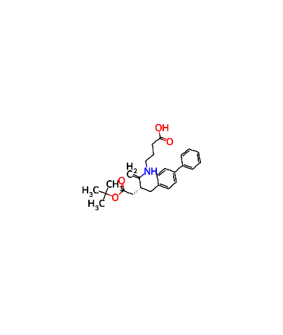 C=C(NCCCC(=O)O)[C@@H](CC(=O)OC(C)(C)C)Cc1ccc(-c2ccccc2)cc1